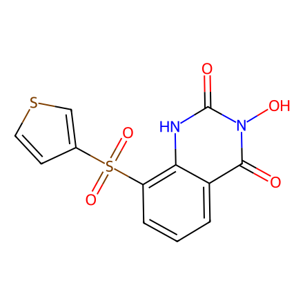 O=c1[nH]c2c(S(=O)(=O)c3ccsc3)cccc2c(=O)n1O